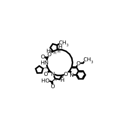 CCOc1c2c(nc3ccccc13)O[C@@H]1C[C@@H](C(=O)O)N(C1)C(=O)[C@H](C1CCCC1)NC(=O)O[C@@H]1CCC(C)[C@H]1CCCCC2